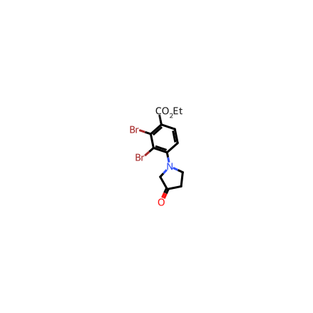 CCOC(=O)c1ccc(N2CCC(=O)C2)c(Br)c1Br